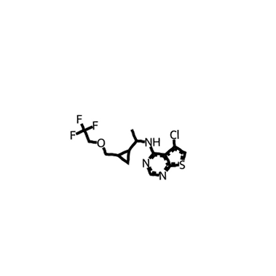 CC(Nc1ncnc2scc(Cl)c12)C1CC1COCC(F)(F)F